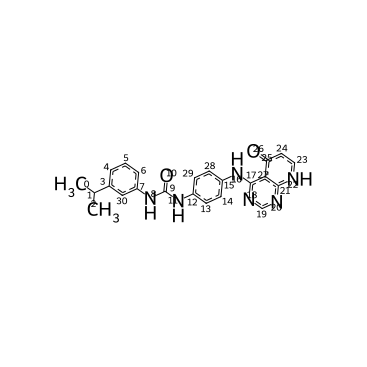 CC(C)c1cccc(NC(=O)Nc2ccc(Nc3ncnc4[nH]ccc(=O)c34)cc2)c1